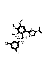 COc1cc(C2=N[C@@H](C(C)C)CO2)c(NS(=O)(=O)c2cc(Cl)cc(Cl)c2)c(OC)c1OC